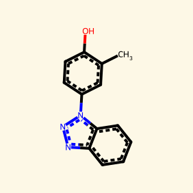 Cc1cc(-n2nnc3ccccc32)ccc1O